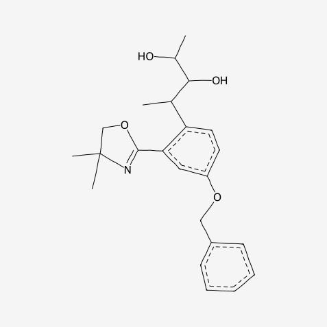 CC(O)C(O)C(C)c1ccc(OCc2ccccc2)cc1C1=NC(C)(C)CO1